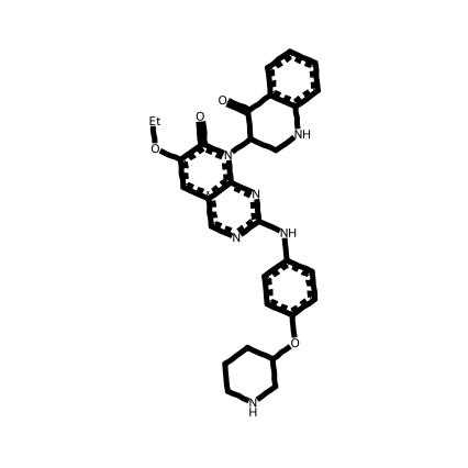 CCOc1cc2cnc(Nc3ccc(OC4CCCNC4)cc3)nc2n(C2CNc3ccccc3C2=O)c1=O